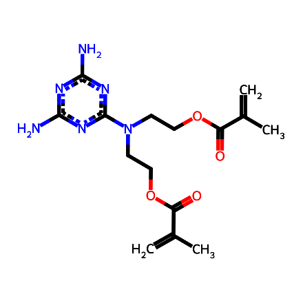 C=C(C)C(=O)OCCN(CCOC(=O)C(=C)C)c1nc(N)nc(N)n1